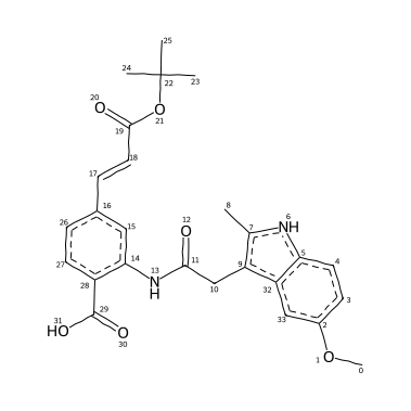 COc1ccc2[nH]c(C)c(CC(=O)Nc3cc(C=CC(=O)OC(C)(C)C)ccc3C(=O)O)c2c1